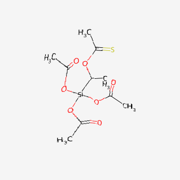 CC(=O)O[Si](OC(C)=O)(OC(C)=O)C(C)OC(C)=S